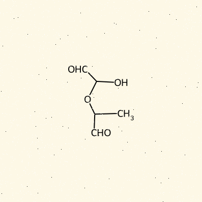 CC(C=O)OC(O)C=O